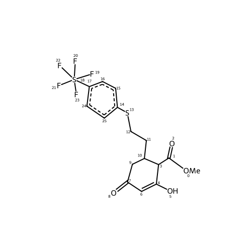 COC(=O)C1C(O)=CC(=O)CC1CCSc1ccc(S(F)(F)(F)(F)F)cc1